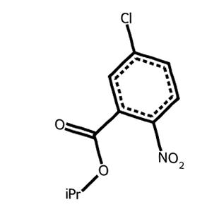 CC(C)OC(=O)c1cc(Cl)ccc1[N+](=O)[O-]